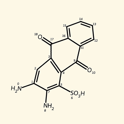 Nc1cc2c(c(S(=O)(=O)O)c1N)C(=O)c1ccccc1C2=O